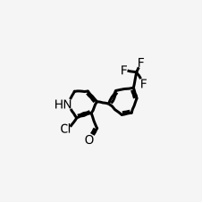 O=CC1=C(Cl)NCC=C1c1cccc(C(F)(F)F)c1